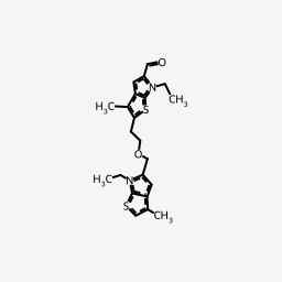 CCn1c(C=O)cc2c(C)c(CCOCc3cc4c(C)csc4n3CC)sc21